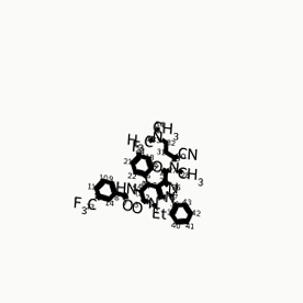 CCN1C(=O)[C@@H](NC(=O)c2cccc(C(F)(F)F)c2)[C@@H](c2ccc(F)cc2)c2c(C(=O)N(C)C(C#N)CCN(C)C)nn(-c3ccccc3)c21